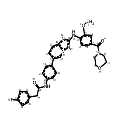 COc1cc(C(=O)N2CCOCC2)ccc1Nc1nc2ccc(-c3ccc(NC(=O)Cc4ccc(F)cc4)cc3)cn2n1